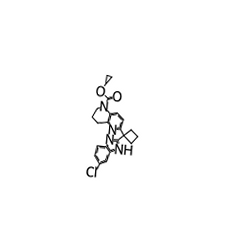 O=C(OC1CC1)N1CCCc2nc(C3(c4nc5ccc(Cl)cc5[nH]4)CCC3)ccc21